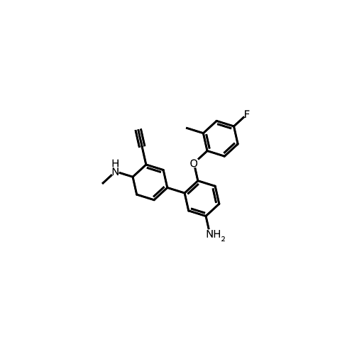 C#CC1=CC(c2cc(N)ccc2Oc2ccc(F)cc2C)=CCC1NC